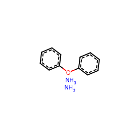 N.N.c1ccc(Oc2ccccc2)cc1